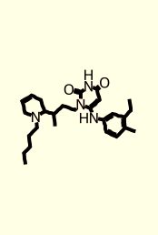 CCCCCN1CC=CCC1C(C)CCn1c(Nc2ccc(C)c(CC)c2)cc(=O)[nH]c1=O